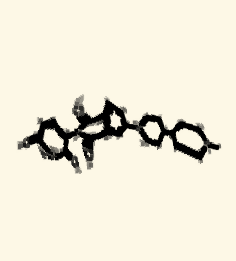 CN1CCC(C2CCN(c3ccc4c(c3)C(=O)N(C3CCC(=O)NC3=O)C4=O)CC2)CC1